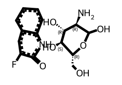 N[C@H]1C(O)O[C@H](CO)[C@@H](O)[C@@H]1O.O=c1[nH]c2ccccc2cc1F